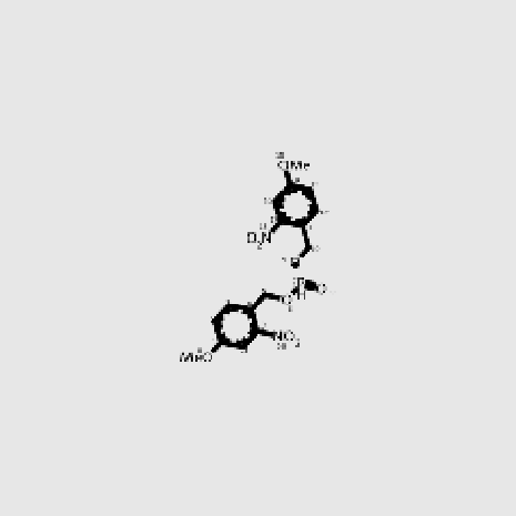 COc1ccc(CO[PH](=O)OCc2ccc(OC)cc2[N+](=O)[O-])c([N+](=O)[O-])c1